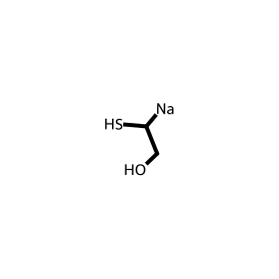 OC[CH]([Na])S